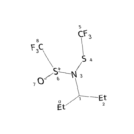 CCC(CC)N(SC(F)(F)F)[S+]([O-])C(F)(F)F